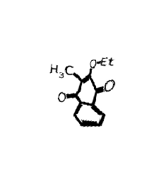 CCOC1=C(C)C(=O)c2ccccc2C1=O